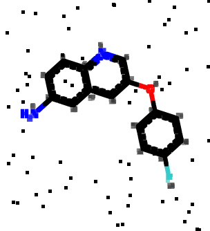 Nc1ccc2ncc(Oc3ccc(F)cc3)cc2c1